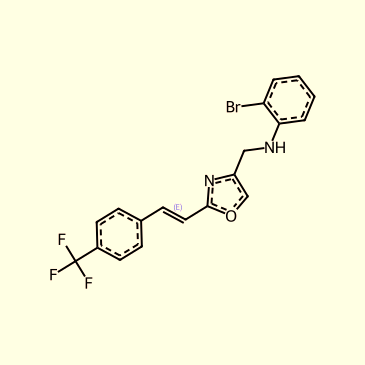 FC(F)(F)c1ccc(/C=C/c2nc(CNc3ccccc3Br)co2)cc1